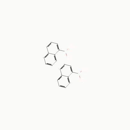 OB(O)c1cccc2ccccc12.OB(O)c1cccc2ccccc12